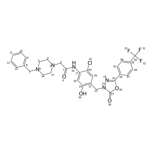 O=C(CN1CCN(Cc2ccccc2)CC1)Nc1cc(O)c(Cn2nc(-c3ccc(C(F)(F)F)cc3)oc2=O)cc1Cl